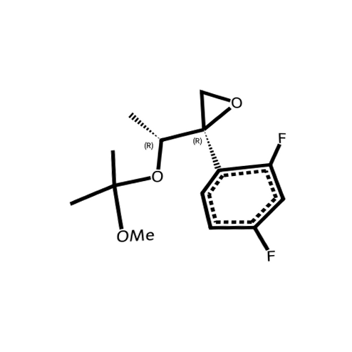 COC(C)(C)O[C@H](C)[C@@]1(c2ccc(F)cc2F)CO1